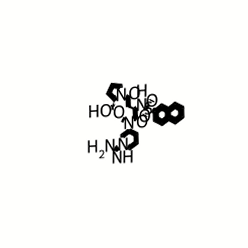 CN(C(=O)[C@@H](CC(=O)N1CCC[C@H]1C(=O)O)NS(=O)(=O)c1ccc2ccccc2c1)C1CCCN(C(=N)N)C1